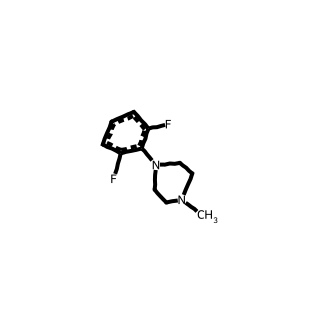 CN1CCN(c2c(F)cccc2F)CC1